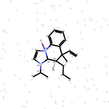 C=CC1(C)c2ccccc2[N+]2(I)C=CN(C(C)C)C2[C@]1(C)CCC